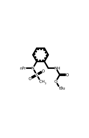 CCCN(c1ccccc1CNC(=O)OC(C)(C)C)S(C)(=O)=O